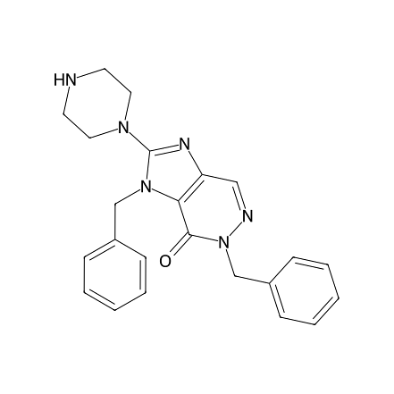 O=c1c2c(cnn1Cc1ccccc1)nc(N1CCNCC1)n2Cc1ccccc1